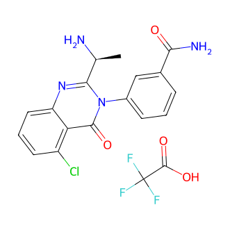 C[C@H](N)c1nc2cccc(Cl)c2c(=O)n1-c1cccc(C(N)=O)c1.O=C(O)C(F)(F)F